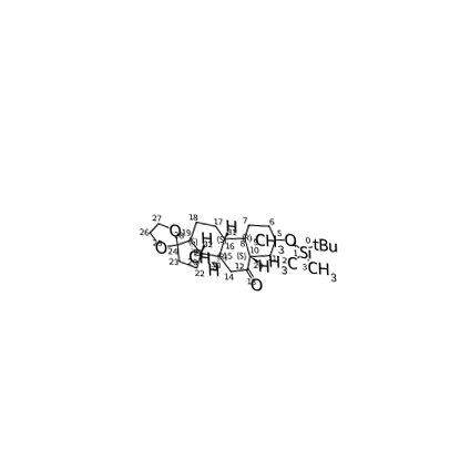 CC(C)(C)[Si](C)(C)OC1CC[C@@]2(C)[C@H](C1)C(=O)C[C@@H]1[C@@H]2CC[C@@]2(C)[C@H]1CCC21OCCO1